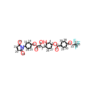 O=C(Oc1ccc(CC(O)C(=O)Oc2ccc(N3C(=O)C=CC3=O)cc2)cc1)c1ccc(OCC(F)(F)F)cc1